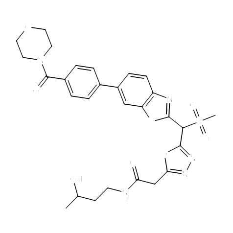 CC(O)CCNC(=O)Cc1nnc(C(c2nc3ccc(-c4ccc(C(=O)N5CCOCC5)cc4)cc3s2)S(C)(=O)=O)o1